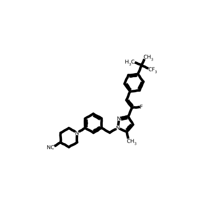 Cc1cc(/C(F)=C/c2ccc(C(C)(C)C(F)(F)F)cc2)nn1Cc1cccc(N2CCC(C#N)CC2)c1